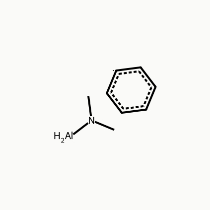 C[N](C)[AlH2].[c]1ccccc1